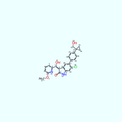 COc1cccc(C(O)=C2C(=O)Nc3cc(Cl)c(-c4ccc(C5(CO)CC5)cc4)cc32)n1